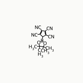 CC1(C)OB(C2C(C#N)=C(C#N)C(C#N)=C2C#N)OC1(C)C